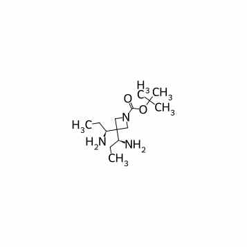 CC[C@H](N)C1([C@@H](N)CC)CN(C(=O)OC(C)(C)C)C1